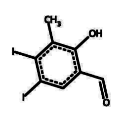 Cc1c(O)c(C=O)cc(I)c1I